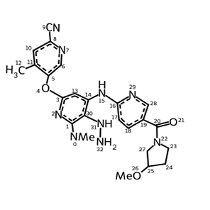 CNc1nc(Oc2cnc(C#N)cc2C)cc(Nc2ccc(C(=O)N3CCC(OC)C3)cn2)c1NN